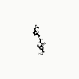 CN(C)Cc1ccc(CSCC[AsH]c2nc(CO)nn2C)o1